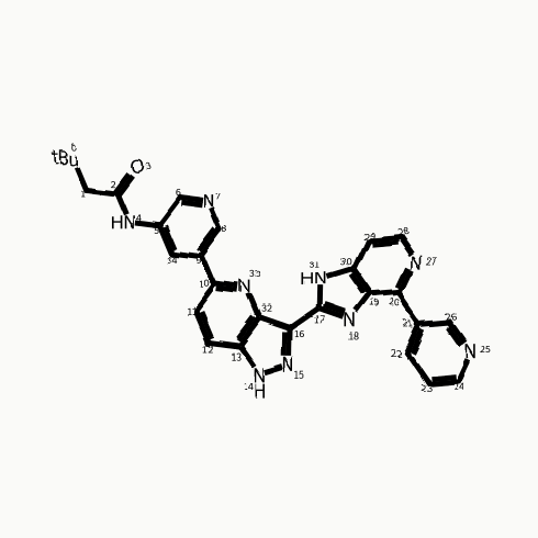 CC(C)(C)CC(=O)Nc1cncc(-c2ccc3[nH]nc(-c4nc5c(-c6cccnc6)nccc5[nH]4)c3n2)c1